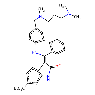 CCOC(=O)c1ccc2c(c1)NC(=O)C2=C(Nc1ccc(CN(C)CCCN(C)C)cc1)c1ccccc1